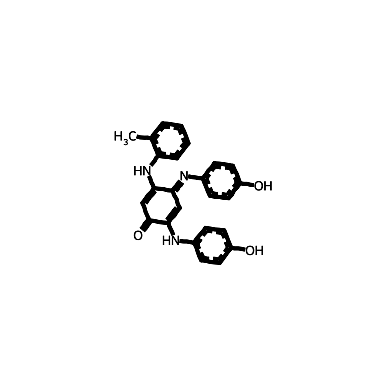 Cc1ccccc1NC1=CC(=O)C(Nc2ccc(O)cc2)=C/C1=N\c1ccc(O)cc1